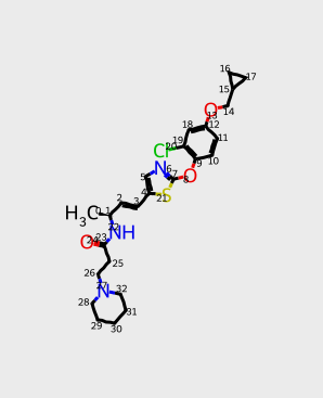 C[C@@H](/C=C/c1cnc(Oc2ccc(OCC3CC3)cc2Cl)s1)NC(=O)CCN1CCCCC1